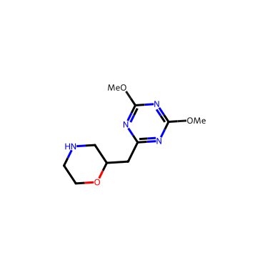 COc1nc(CC2CNCCO2)nc(OC)n1